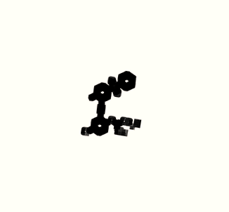 Cc1ccc(S(=O)(=O)c2ccccc2)cc1C#Cc1cc(Cl)ccc1OC(C(=O)O)C(C)(C)C